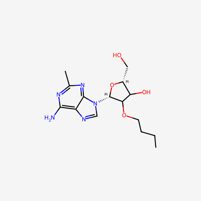 CCCCOC1C(O)[C@@H](CO)O[C@H]1n1cnc2c(N)nc(C)nc21